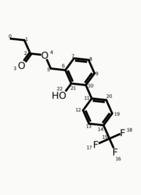 CCC(=O)OCc1cccc(-c2ccc(C(F)(F)F)cc2)c1O